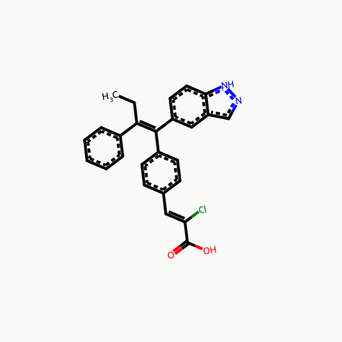 CC/C(=C(/c1ccc(/C=C(\Cl)C(=O)O)cc1)c1ccc2[nH]ncc2c1)c1ccccc1